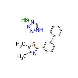 Br.Cc1nc(-c2cccc(-c3ccccc3)c2)sc1C.c1nnn[nH]1